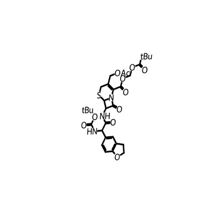 CC(=O)OCC1=C(C(=O)OCOC(=O)C(C)(C)C)N2C(=O)C(NC(=O)C(NC(=O)OC(C)(C)C)c3ccc4c(c3)CCO4)C2SC1